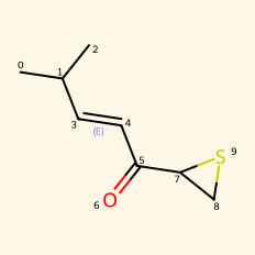 CC(C)/C=C/C(=O)C1CS1